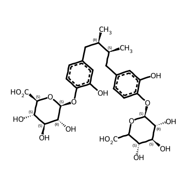 C[C@H](Cc1ccc(O[C@@H]2O[C@H](C(=O)O)[C@@H](O)[C@H](O)[C@H]2O)c(O)c1)[C@@H](C)Cc1ccc(O[C@@H]2OC(C(=O)O)[C@@H](O)[C@H](O)[C@H]2O)c(O)c1